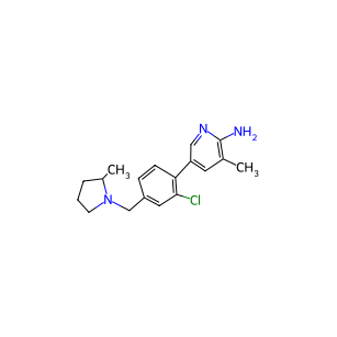 Cc1cc(-c2ccc(CN3CCCC3C)cc2Cl)cnc1N